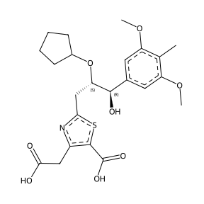 COc1cc([C@@H](O)[C@H](Cc2nc(CC(=O)O)c(C(=O)O)s2)OC2CCCC2)cc(OC)c1C